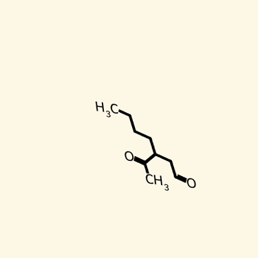 CCCCC(CC=O)C(C)=O